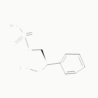 CO[C@@H](COS(C)(=O)=O)c1ccccc1